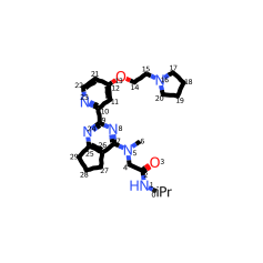 CC(C)NC(=O)CN(C)c1nc(-c2cc(OCCN3CCCC3)ccn2)nc2c1CCC2